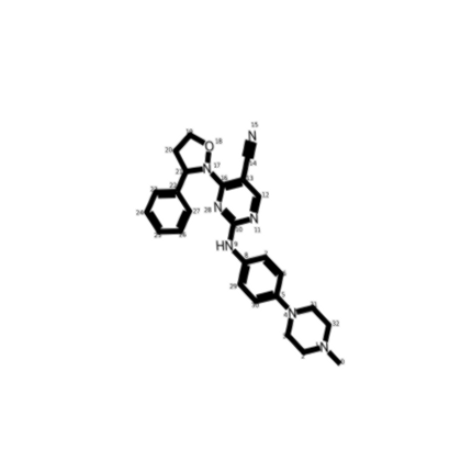 CN1CCN(c2ccc(Nc3ncc(C#N)c(N4OCCC4c4ccccc4)n3)cc2)CC1